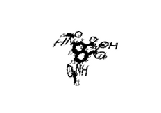 CC(=O)Nc1cc2c3c(cc(NC(C)=O)cc3c1)C(=O)N(O)C2=O